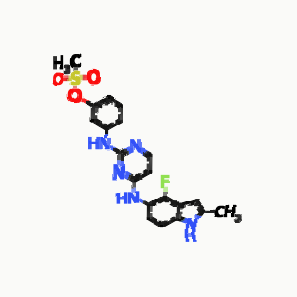 Cc1cc2c(F)c(Nc3ccnc(Nc4cccc(OS(C)(=O)=O)c4)n3)ccc2[nH]1